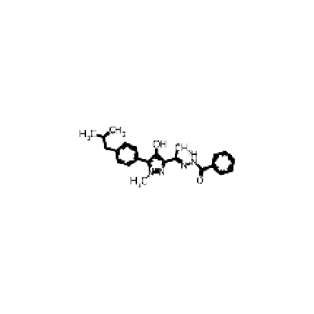 C/C(=N\NC(=O)c1ccccc1)c1nn(C)c(-c2ccc(CC(C)C)cc2)c1O